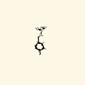 [CH2]c1ccc(CO[SH](=O)=O)cc1